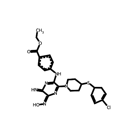 CCOC(=O)c1ccc(NC2=NC(=N)/C(=N\O)N=C2N2CCC(SC3C=CC(Cl)=CC3)CC2)cc1